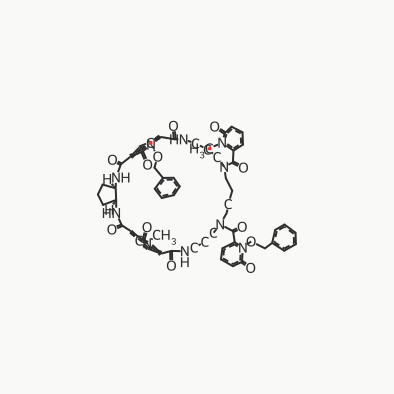 Cn1c(C(=O)N2CCCCN(C(=O)c3cccc(=O)n3OCc3ccccc3)CCCNC(=O)c3ccc(c(=O)n3C)C(=O)N[C@@H]3CCC[C@@H]3NC(=O)c3ccc(n(OCc4ccccc4)c3=O)C(=O)NCCC2)cccc1=O